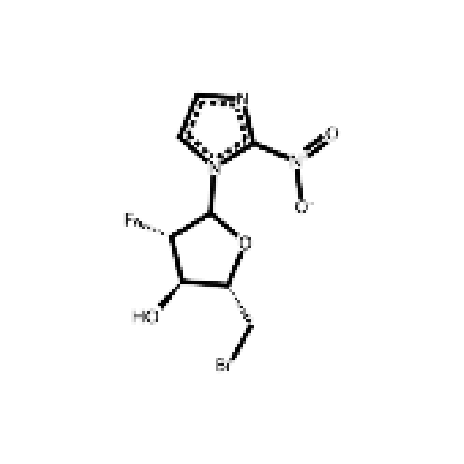 O=[N+]([O-])c1nccn1C1O[C@H](CBr)[C@@H](O)[C@@H]1F